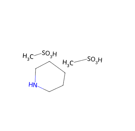 C1CCNCC1.CS(=O)(=O)O.CS(=O)(=O)O